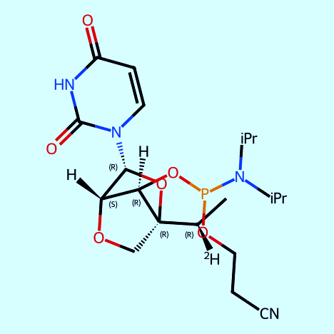 [2H][C@H](C)[C@]12CO[C@H]([C@H](n3ccc(=O)[nH]c3=O)O1)[C@H]2OP(OCCC#N)N(C(C)C)C(C)C